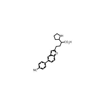 N#Cc1ccc(-c2ccc3oc(CCC(C(=O)O)C4CCCN4)cc3c2)cc1